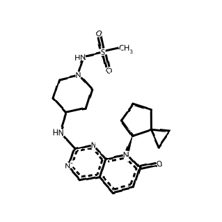 CS(=O)(=O)NN1CCC(Nc2ncc3ccc(=O)n([C@H]4CCCC45CC5)c3n2)CC1